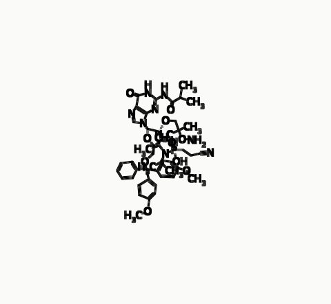 COc1ccc(C(OC[C@H]2O[C@@H](n3cnc4c(=O)[nH]c(NC(=O)C(C)C)nc43)[C@H](OCC(C)(C)ON)[C@@H]2O[PH](O)(CCC#N)N(C(C)C)C(C)C)(c2ccccc2)c2ccc(OC)cc2)cc1